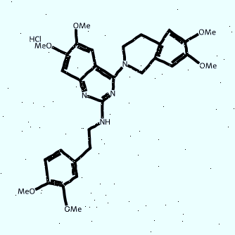 COc1ccc(CCNc2nc(N3CCc4cc(OC)c(OC)cc4C3)c3cc(OC)c(OC)cc3n2)cc1OC.Cl